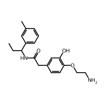 CCC(NC(=O)Cc1ccc(OCCN)c(O)c1)c1cccc(C)c1